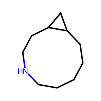 C1CCNCCC2CC2CC1